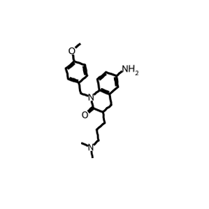 COc1ccc(CN2C(=O)C(CCCN(C)C)Cc3cc(N)ccc32)cc1